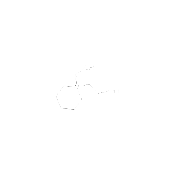 CC[N+]1(CCO)CCCCC1